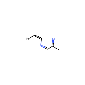 CC(=N)/C=N\C=C/C(C)C